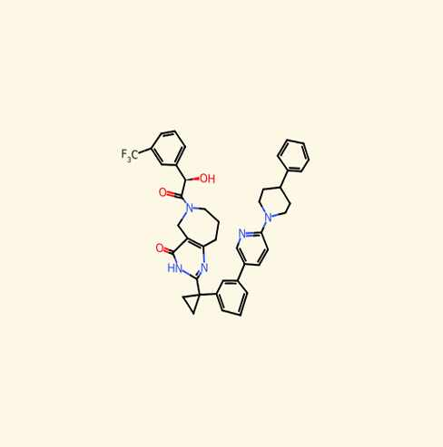 O=C([C@H](O)c1cccc(C(F)(F)F)c1)N1CCCc2nc(C3(c4cccc(-c5ccc(N6CCC(c7ccccc7)CC6)nc5)c4)CC3)[nH]c(=O)c2C1